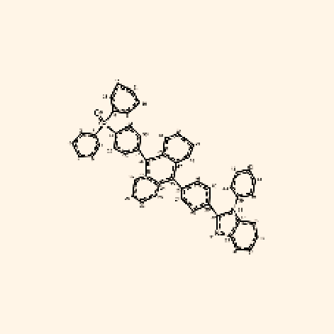 O=P(c1ccccc1)(c1ccccc1)c1ccc(-c2c3ccccc3c(-c3ccc(-c4nc5ccccc5n4-c4ccccc4)cc3)c3ccccc23)cc1